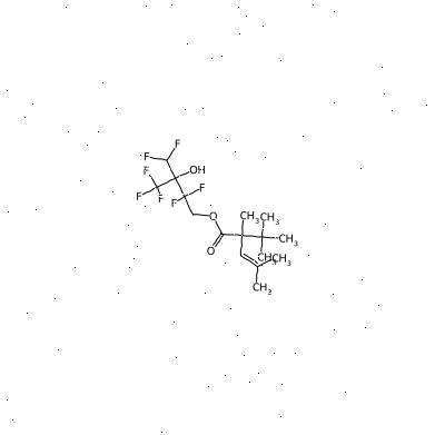 CC(C)=CC(C)(C(=O)OCC(F)(F)C(O)(C(F)F)C(F)(F)F)C(C)(C)C